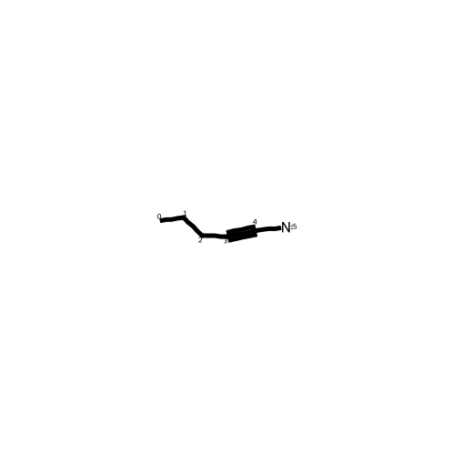 CCCC#C[N]